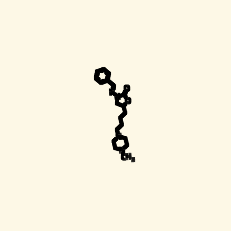 CN1CCN(CCCCC2CN(N=Cc3ccccc3)C(=O)O2)CC1